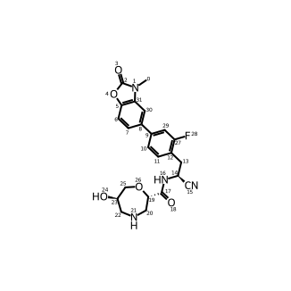 Cn1c(=O)oc2ccc(-c3ccc(C[C@@H](C#N)NC(=O)[C@@H]4CNC[C@@H](O)CO4)c(F)c3)cc21